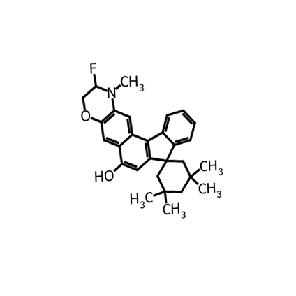 CN1c2cc3c4c(cc(O)c3cc2OCC1F)C1(CC(C)(C)CC(C)(C)C1)c1ccccc1-4